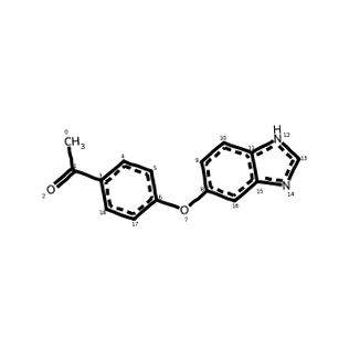 CC(=O)c1ccc(Oc2ccc3[nH]cnc3c2)cc1